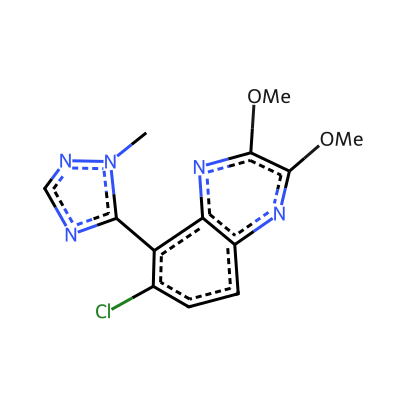 COc1nc2ccc(Cl)c(-c3ncnn3C)c2nc1OC